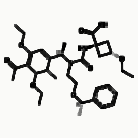 CCOC1=C(C(C)=O)C(OCC)C(C)C([C@@H](C)N(CCO[C@@H](C)c2ccccc2)C(=O)N[C@]2(C(=O)O)C[C@@H](OCC)C2)=C1